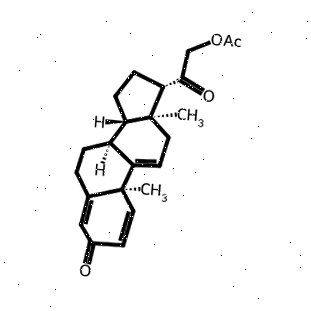 CC(=O)OCC(=O)[C@H]1CC[C@H]2[C@@H]3CCC4=CC(=O)C=C[C@]4(C)C3=CC[C@]12C